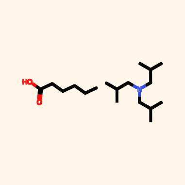 CC(C)CN(CC(C)C)CC(C)C.CCCCCC(=O)O